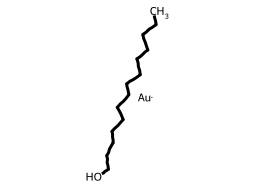 CCCCCCCCCCCCCCO.[Au]